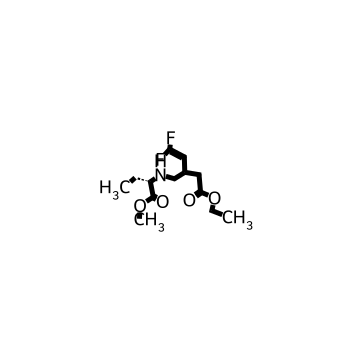 CCOC(=O)CC(C=C(F)F)CN[C@@H](CC)C(=O)OC